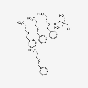 O=C(O)CCOCc1ccccc1.O=C(O)CCOCc1ccccc1.O=C(O)CCOCc1ccccc1.O=C(O)CCOCc1ccccc1.OCC(CO)(CO)CO